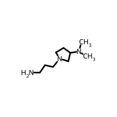 CN(C)C1CCN(CCCN)C1